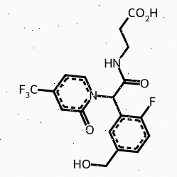 O=C(O)CCNC(=O)C(c1cc(CO)ccc1F)n1ccc(C(F)(F)F)cc1=O